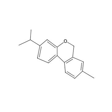 Cc1ccc2c(c1)COc1cc(C(C)C)ccc1-2